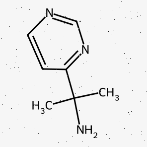 CC(C)(N)c1ccn[c]n1